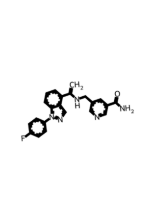 C=C(NCc1cncc(C(N)=O)c1)c1cccc2c1cnn2-c1ccc(F)cc1